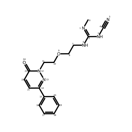 CN=C(NC#N)NCCOCCn1nc(-c2ccccc2)ccc1=O